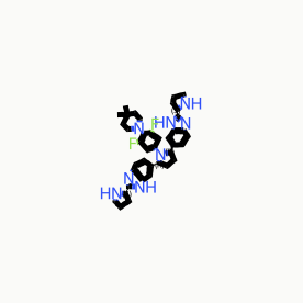 CC1(C)CCN(c2c(F)cc(N3[C@@H](c4ccc5nc([C@@H]6CCCN6)[nH]c5c4)CC[C@@H]3c3ccc4nc([C@@H]5CCCN5)[nH]c4c3)cc2F)CC1